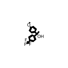 COc1ccc(C(C)(O)c2ccc(C(F)(F)F)cc2)cc1